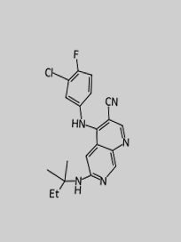 CCC(C)(C)Nc1cc2c(Nc3ccc(F)c(Cl)c3)c(C#N)cnc2cn1